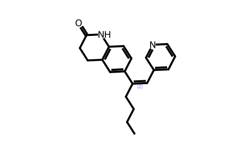 CCCC/C(=C/c1cccnc1)c1ccc2c(c1)CCC(=O)N2